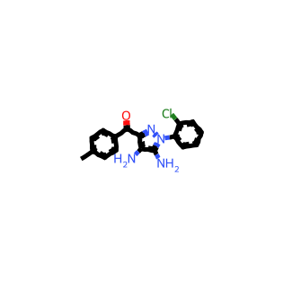 Cc1ccc(C(=O)c2nn(-c3ccccc3Cl)c(N)c2N)cc1